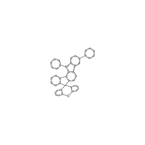 c1ccc(-c2ccc3c(c2)c2ccc4c(c2n3-c2ccccc2)-c2ccccc2C42c3ccccc3Oc3ccccc32)cc1